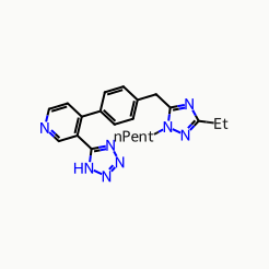 CCCCCn1nc(CC)nc1Cc1ccc(-c2ccncc2-c2nnn[nH]2)cc1